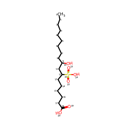 CCCCCCCCCC(O)CC(CCCCCC(=O)O)S(=O)(=O)O